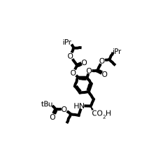 CC(CN[C@@H](Cc1ccc(OC(=O)OC(C)C(C)C)c(OC(=O)OC(C)C(C)C)c1)C(=O)O)OC(=O)C(C)(C)C